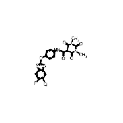 CN1C(=O)C(C(=O)Nc2ccc(Oc3nc4cc(Cl)c(F)cc4s3)cc2)C(=O)N(C)C1=O